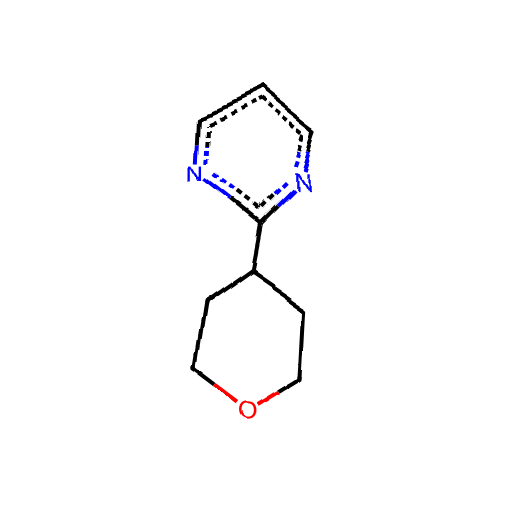 c1cnc(C2CCOCC2)nc1